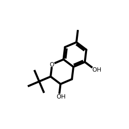 Cc1cc(O)c2c(c1)OC(C(C)(C)C)C(O)C2